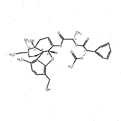 CC(=O)O[C@H](C(=O)O[C@@H](C)C(=O)OC1=CC[C@@]2(O)[C@@H](C)N(C)CC[C@@]23c2c(C)ccc(CO)c2O[C@@H]13)c1ccccc1